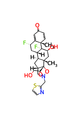 C[C@]12C=CC(=O)C=C1[C@@H](F)C[C@H]1[C@@H]3C[C@H]4CN(Cc5nccs5)O[C@@]4(C(=O)CO)[C@@]3(C)C[C@H](O)[C@@]12F